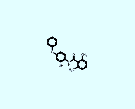 Cc1cccc(C)c1C(=O)Pc1ccc(Oc2ccccc2)cc1.[LiH]